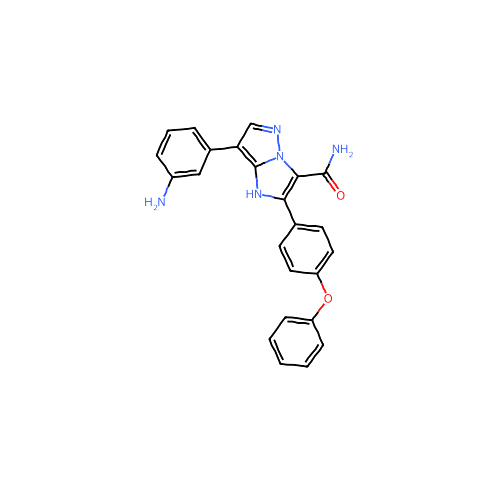 NC(=O)c1c(-c2ccc(Oc3ccccc3)cc2)[nH]c2c(-c3cccc(N)c3)cnn12